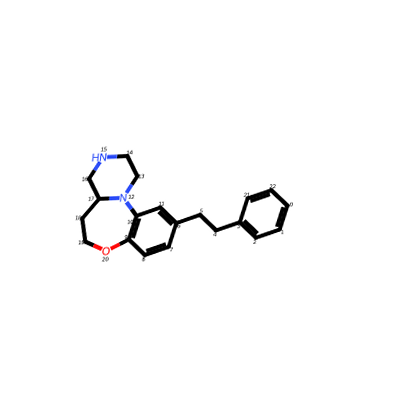 c1ccc(CCc2ccc3c(c2)N2CCNCC2CCO3)cc1